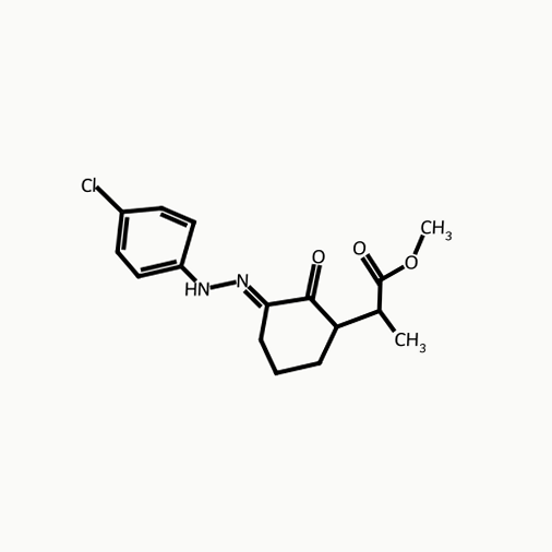 COC(=O)C(C)C1CCC/C(=N\Nc2ccc(Cl)cc2)C1=O